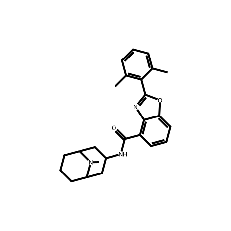 Cc1cccc(C)c1-c1nc2c(C(=O)NC3CC4CCCC(C3)N4C)cccc2o1